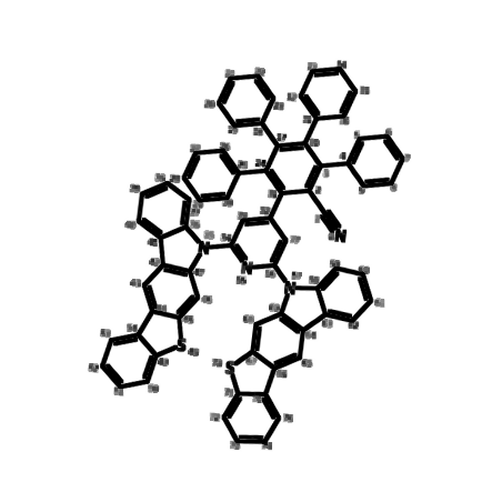 N#Cc1c(-c2ccccc2)c(-c2ccccc2)c(-c2ccccc2)c(-c2ccccc2)c1-c1cc(-n2c3ccccc3c3cc4c(cc32)sc2ccccc24)nc(-n2c3ccccc3c3cc4c(cc32)sc2ccccc24)c1